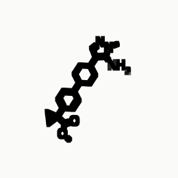 COC(=O)C1(c2ccc(C3CCC(c4cnn(C)c4N)CC3)cc2)CC1